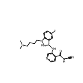 CN(C)CCCCN1NC(Nc2cnccc2C(=O)NC#N)c2cc(F)ccc21